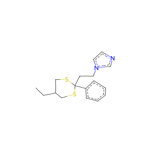 CCC1CSC(CCn2ccnc2)(c2ccccc2)SC1